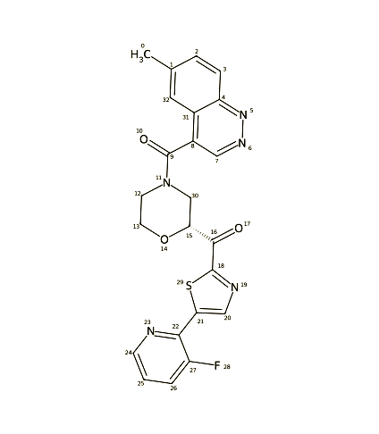 Cc1ccc2nncc(C(=O)N3CCO[C@@H](C(=O)c4ncc(-c5ncccc5F)s4)C3)c2c1